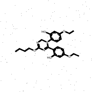 CCCCOC1=NCN(c2ccc(OCC)cc2O)C(c2ccc(OCC)cc2O)=N1